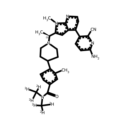 [2H]C([2H])([2H])N(C(=O)c1ccc(C2CCN([C@@H](C)c3cc4c(-c5ccc(N)nc5C#N)ccnc4n3C)CC2)c(C)c1)C([2H])([2H])[2H]